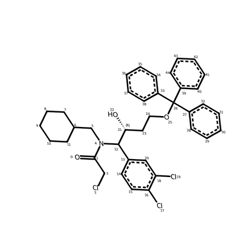 O=C(CCl)N(CC1CCCCC1)C(c1ccc(Cl)c(Cl)c1)[C@H](O)CCOC(c1ccccc1)(c1ccccc1)c1ccccc1